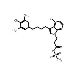 Cc1cc(OCCCc2cn(CCC(=O)NS(C)(=O)=O)c3cccc(Cl)c23)cc(C)c1Cl